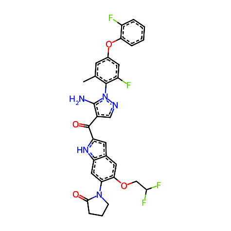 Cc1cc(Oc2ccccc2F)cc(F)c1-n1ncc(C(=O)c2cc3cc(OCC(F)F)c(N4CCCC4=O)cc3[nH]2)c1N